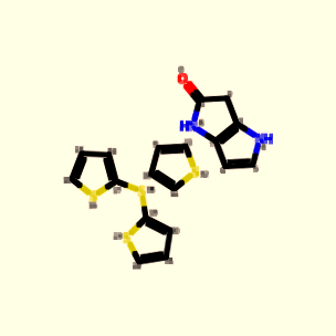 O=C1Cc2[nH]ccc2N1.c1ccsc1.c1csc(Sc2cccs2)c1